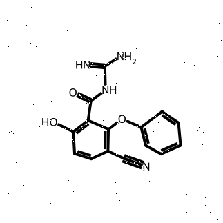 N#Cc1ccc(O)c(C(=O)NC(=N)N)c1Oc1ccccc1